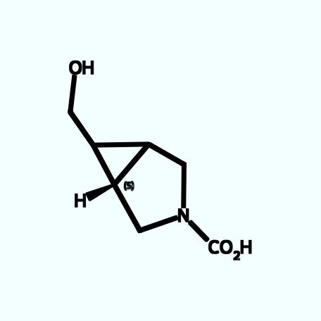 O=C(O)N1CC2C(CO)[C@H]2C1